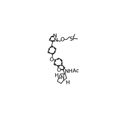 CC(=O)N[C@H]1C[C@H]2CC[C@@H](C1)N2Cc1cc2ccc(Oc3ccc(-c4ccnn4COCC[Si](C)(C)C)cc3)cc2o1